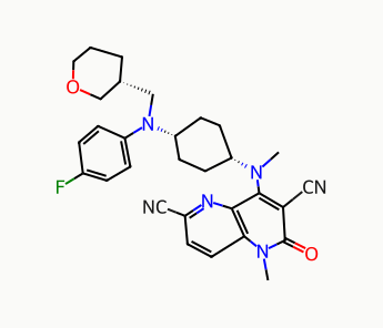 Cn1c(=O)c(C#N)c(N(C)[C@H]2CC[C@@H](N(C[C@H]3CCCOC3)c3ccc(F)cc3)CC2)c2nc(C#N)ccc21